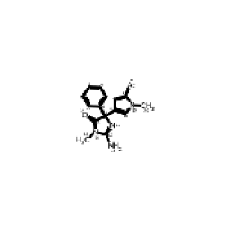 CC(=O)c1cc(C2(c3ccccc3)N=C(N)N(C)C2=O)cn1C